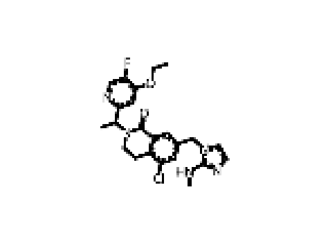 CCOc1cc(C(C)N2CCc3c(Cl)cc(Cn4ccnc4NC)cc3C2=O)ncc1F